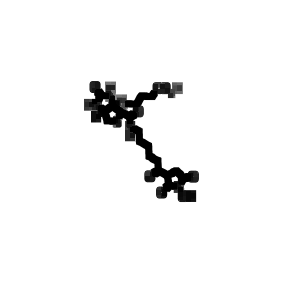 O=C(O)CCCC[C@]1(C(=O)NCCCCCC(=O)C2CC(=O)N(O)C2=O)SC[C@@H]2NC(=O)N[C@@H]21